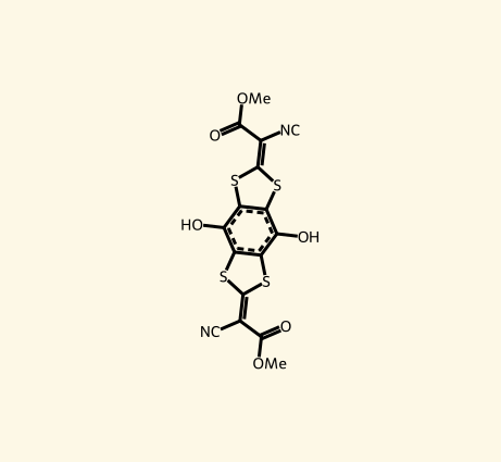 [C-]#[N+]C(C(=O)OC)=C1Sc2c(O)c3c(c(O)c2S1)SC(=C(C#N)C(=O)OC)S3